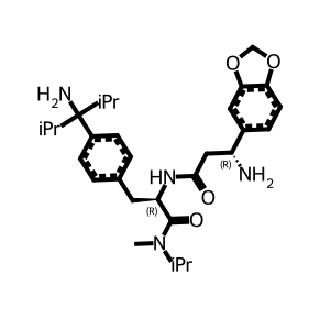 CC(C)N(C)C(=O)[C@@H](Cc1ccc(C(N)(C(C)C)C(C)C)cc1)NC(=O)C[C@@H](N)c1ccc2c(c1)OCO2